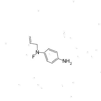 C=CCN(F)c1ccc(N)cc1